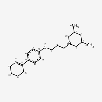 CC1CC(C)CN(CCCOc2ccc(C3=NCCCC3)cc2)C1